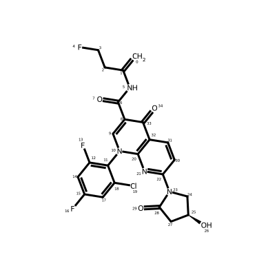 C=C(CCF)NC(=O)c1cn(-c2c(F)cc(F)cc2Cl)c2nc(N3C[C@@H](O)CC3=O)ccc2c1=O